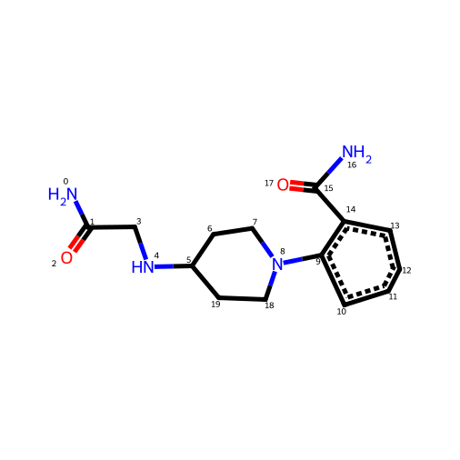 NC(=O)CNC1CCN(c2ccccc2C(N)=O)CC1